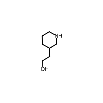 OCCC1CCCNC1